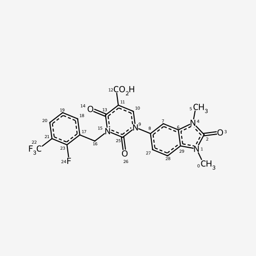 Cn1c(=O)n(C)c2cc(-n3cc(C(=O)O)c(=O)n(Cc4cccc(C(F)(F)F)c4F)c3=O)ccc21